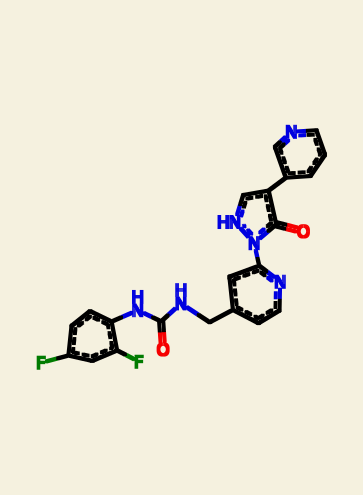 O=C(NCc1ccnc(-n2[nH]cc(-c3cccnc3)c2=O)c1)Nc1ccc(F)cc1F